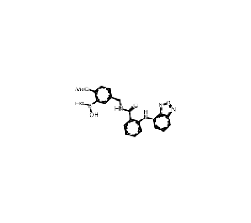 COc1ccc(CNC(=O)c2ccccc2Nc2cccc3nonc23)cc1B(O)O